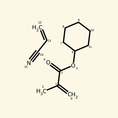 C=C(C)C(=O)OC1CCCCC1.C=CC#N